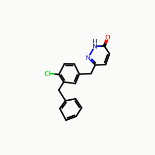 O=c1ccc(Cc2ccc(Cl)c(Cc3ccccc3)c2)n[nH]1